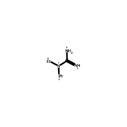 CCN(C(=N)N)C(C)C